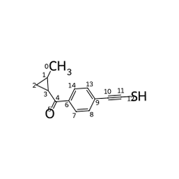 CC1CC1C(=O)c1ccc(C#CS)cc1